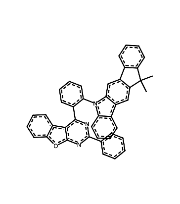 CC1(C)c2ccccc2-c2cc3c(cc21)c1ccccc1n3-c1ccccc1-c1nc(-c2ccccc2)nc2oc3ccccc3c12